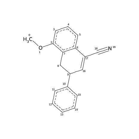 COc1cccc2c1CC(c1ccccc1)C=C2C#N